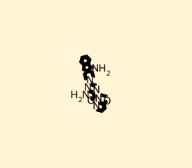 Nc1nc(N2CCC3(CC2)Cc2ccccc2[C@H]3N)cnc1C(=O)N1CCOc2cccnc21